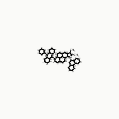 Cc1c(C)n(-c2cc3ccccc3c3ccccc23)c2c1cc1ccc3c(-c4c5ccccc5c(-c5ccccc5)c5ccccc45)ccc4ccc2c1c43